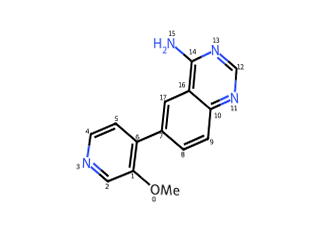 COc1cnccc1-c1ccc2ncnc(N)c2c1